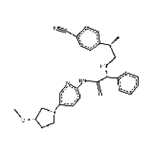 CO[C@H]1CCN(c2ccc(NC(=O)[C@H](NC[C@H](C)c3ccc(C#N)cc3)c3ccccc3)nc2)C1